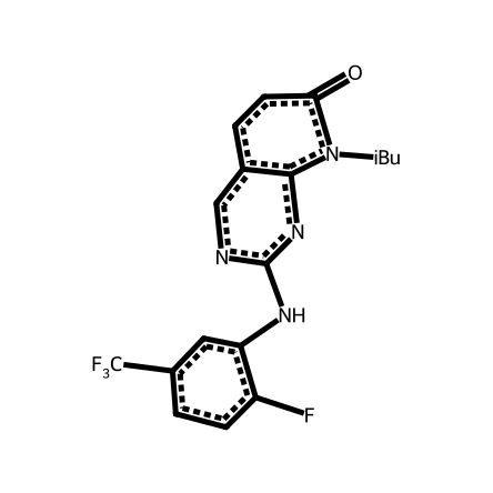 CCC(C)n1c(=O)ccc2cnc(Nc3cc(C(F)(F)F)ccc3F)nc21